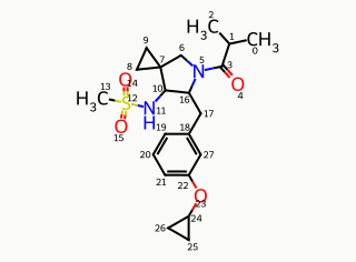 CC(C)C(=O)N1CC2(CC2)C(NS(C)(=O)=O)C1Cc1cccc(OC2CC2)c1